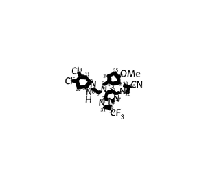 COc1ccc(CN(Cc2nc3cc(Cl)c(Cl)cc3[nH]2)c2cc(N3CC(C#N)C3)nn3c(C(F)(F)F)cnc23)cc1